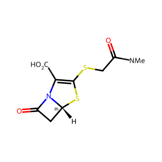 CNC(=O)CSC1=C(C(=O)O)N2C(=O)C[C@H]2S1